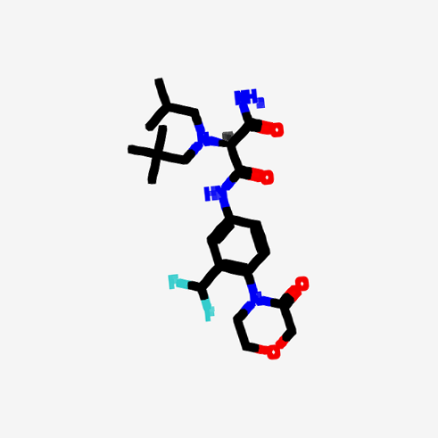 CC(C)CN(CC(C)(C)C)[C@@H](C(N)=O)C(=O)Nc1ccc(N2CCOCC2=O)c(C(F)F)c1